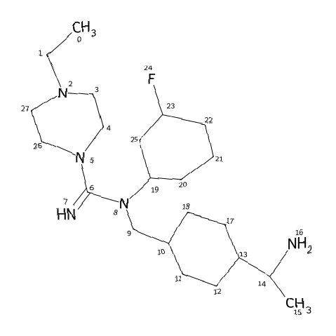 CCN1CCN(C(=N)N(CC2CCC(C(C)N)CC2)C2CCCC(F)C2)CC1